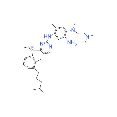 C/C=C(/c1ccnc(Nc2cc(N)c(N(C)CCN(C)C)cc2C)n1)c1cccc(CCCC(C)C)c1C